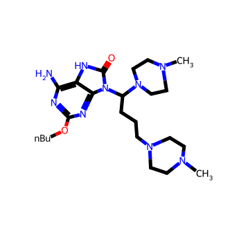 CCCCOc1nc(N)c2[nH]c(=O)n(C(CCCN3CCN(C)CC3)N3CCN(C)CC3)c2n1